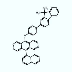 CC1(C)c2ccccc2-c2ccc(-c3ccc(Sc4c5ccccc5c(C5=CC=CC6C=CC=CC56)c5cnccc45)cc3)cc21